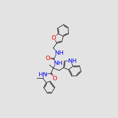 CC(NC(=O)C(C)(Cc1c[nH]c2ccccc12)NC(=O)NCc1cc2ccccc2o1)c1ccccc1